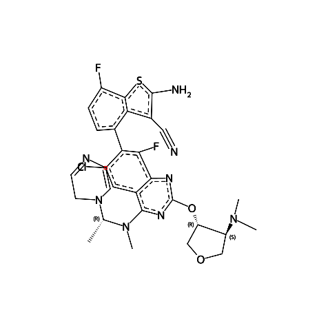 C[C@H](N1C=CN=CC1)N(C)c1nc(O[C@H]2COC[C@@H]2N(C)C)nc2c(F)c(-c3ccc(F)c4sc(N)c(C#N)c34)c(Cl)cc12